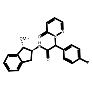 CO[C@H]1c2ccccc2C[C@@H]1NC(=O)C(c1ccc(F)cc1)n1ncccc1=O